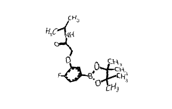 CC(C)NC(=O)COc1cc(B2OC(C)(C)C(C)(C)O2)ccc1F